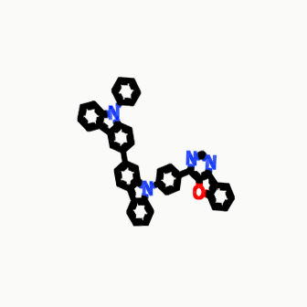 c1ccc(-n2c3ccccc3c3cc(-c4ccc5c6ccccc6n(-c6ccc(-c7ncnc8c7oc7ccccc78)cc6)c5c4)ccc32)cc1